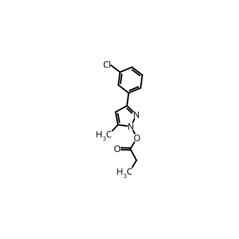 CCC(=O)On1nc(-c2cccc(Cl)c2)cc1C